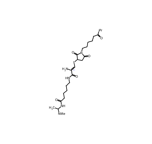 CNC(C)NC(=O)CCCCCNC(=O)/C(N)=C/SC1CC(=O)N(CCCCCC(=O)C(C)C)C1=O